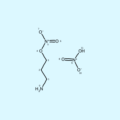 NCCCO[N+](=O)[O-].O=[N+]([O-])O